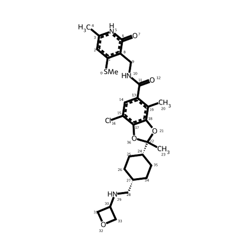 CSc1cc(C)[nH]c(=O)c1CNC(=O)c1cc(Cl)c2c(c1C)OC(C)([C@H]1CC[C@@H](CNC3COC3)CC1)O2